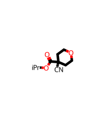 CC(C)OC(=O)C1(C#N)CCOCC1